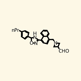 CCCc1ccc(C2NC(c3ccc(CN4CC(C=O)C4)c4ccccc34)=NO2)cc1